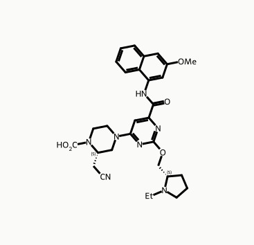 CCN1CCC[C@H]1COc1nc(C(=O)Nc2cc(OC)cc3ccccc23)cc(N2CCN(C(=O)O)[C@@H](CC#N)C2)n1